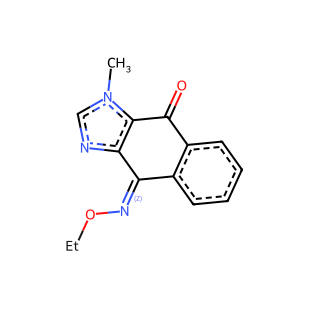 CCO/N=C1/c2ccccc2C(=O)c2c1ncn2C